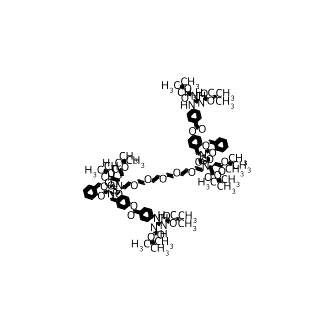 CC(C)(C)OC(=O)C[C@@H](C(=O)OC(C)(C)C)N(CCOCCOCCOCCOCCOCCN([C@@H](CC(=O)OC(C)(C)C)C(=O)OC(C)(C)C)S(=O)(=O)N(Cc1ccc(OC(=O)c2ccc(NC(=NC(=O)OC(C)(C)C)NC(=O)OC(C)(C)C)cc2)cc1)C(=O)OCc1ccccc1)S(=O)(=O)N(Cc1ccc(OC(=O)c2ccc(NC(=NC(=O)OC(C)(C)C)NC(=O)OC(C)(C)C)cc2)cc1)C(=O)OCc1ccccc1